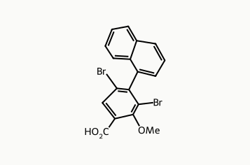 COc1c(C(=O)O)cc(Br)c(-c2cccc3ccccc23)c1Br